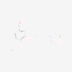 COc1ccc(C=O)cc1OCCCN1CCOCC1